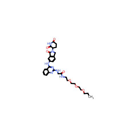 CCCOCCOCCOCCNC(=O)CNc1nc(Nc2ccc3c(c2)C(=O)N(C2CCC(=O)NC2=O)C3)c2ccccc2n1